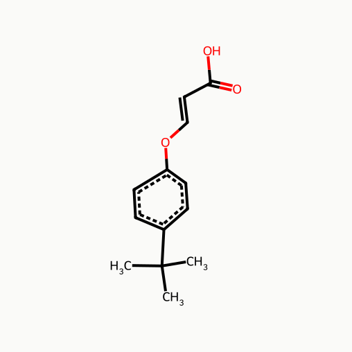 CC(C)(C)c1ccc(OC=CC(=O)O)cc1